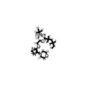 CCC(C)(C)CC(C)(C)C(=O)O[C@@H](CNC(C)(C)C)COc1nsnc1N1CCOCC1